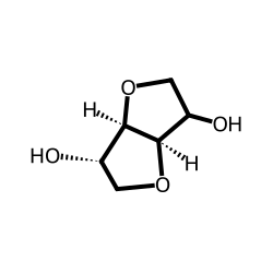 OC1CO[C@H]2[C@@H]1OC[C@@H]2O